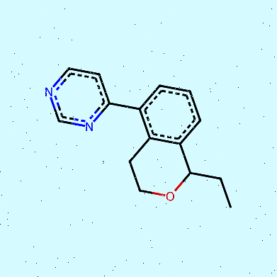 CCC1OCCc2c(-c3ccncn3)cccc21